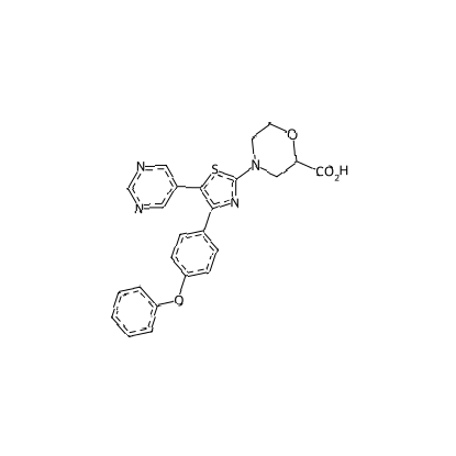 O=C(O)C1CN(c2nc(-c3ccc(Oc4ccccc4)cc3)c(-c3cncnc3)s2)CCO1